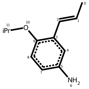 CC=Cc1cc(N)ccc1OC(C)C